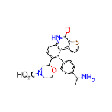 CC(N)c1ccc(-c2c(C3CN(C(=O)O)CCO3)ccc3[nH]c(=O)c4sccc4c23)cc1